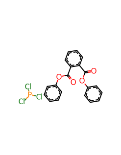 ClP(Cl)Cl.O=C(Oc1ccccc1)c1ccccc1C(=O)Oc1ccccc1